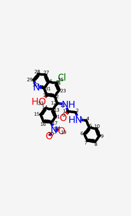 O=C(CNCc1ccccc1)NC(c1cccc([N+](=O)[O-])c1)c1cc(Cl)c2cccnc2c1O